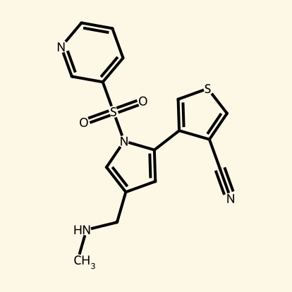 CNCc1cc(-c2cscc2C#N)n(S(=O)(=O)c2cccnc2)c1